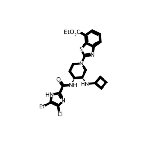 CCOC(=O)c1cccc2nc(N3CC[C@@H](NC(=O)c4nc(Cl)c(CC)[nH]4)[C@@H](NC4CCC4)C3)sc12